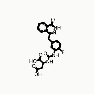 O=C(O)CC(NC(=O)Nc1cc(Cc2n[nH]c(=O)c3ccccc23)ccc1F)C(=O)O